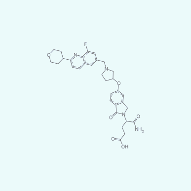 NC(=O)C(CCC(=O)O)N1Cc2cc(OC3CCN(Cc4cc(F)c5nc(C6CCOCC6)ccc5c4)C3)ccc2C1=O